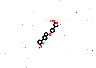 CC[C@H](CC(=O)O)c1ccc(OC2CCc3cc(-c4cccc(OC)c4F)ccc32)cc1